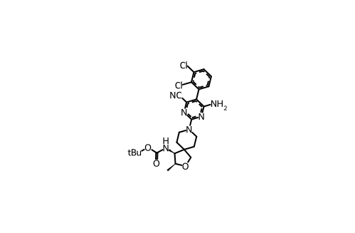 C[C@@H]1OCC2(CCN(c3nc(N)c(-c4cccc(Cl)c4Cl)c(C#N)n3)CC2)[C@@H]1NC(=O)OC(C)(C)C